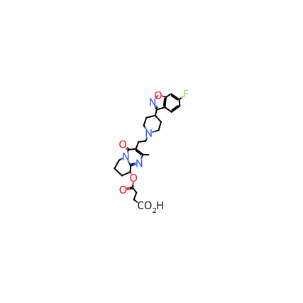 Cc1nc2n(c(=O)c1CCN1CCC(c3noc4cc(F)ccc34)CC1)CCCC2OC(=O)CCC(=O)O